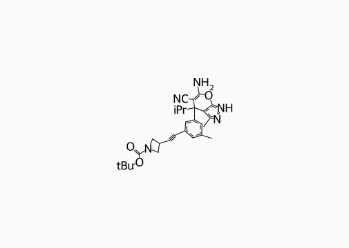 Cc1cc(C#CC2CN(C(=O)OC(C)(C)C)C2)cc(C2(C(C)C)C(C#N)=C(N)Oc3[nH]nc(C)c32)c1